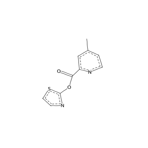 Cc1ccnc(C(=O)Oc2nccs2)c1